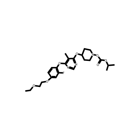 CCOCCOc1ccc(Oc2ncnc(OC3CCN(OC(=O)OC(C)C)CC3)c2C)c(F)c1